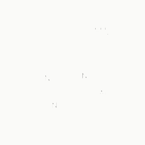 CC(=O)CN(COc1ccccc1N1CCN(C)CC1)c1cccc(C(=O)O)c1